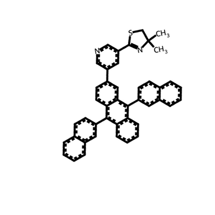 CC1(C)CSC(c2cncc(-c3ccc4c(-c5ccc6ccccc6c5)c5ccccc5c(-c5ccc6ccccc6c5)c4c3)c2)=N1